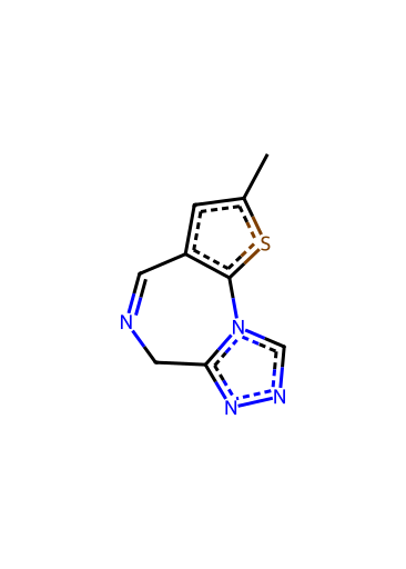 Cc1cc2c(s1)-n1cnnc1CN=C2